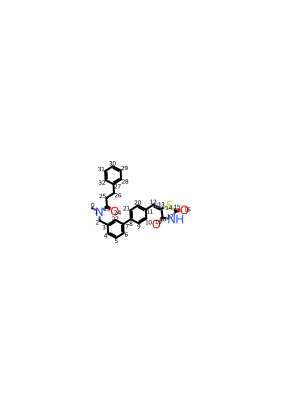 CN(Cc1cccc(-c2ccc(/C=C3/SC(=O)NC3=O)cc2)c1)C(=O)CCc1ccccc1